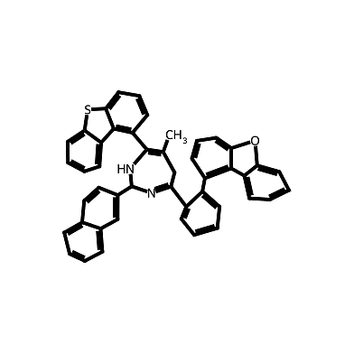 CC1=C(c2cccc3sc4ccccc4c23)NC(c2ccc3ccccc3c2)N=C(c2ccccc2-c2cccc3oc4ccccc4c23)C1